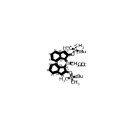 [CH2]=[Zr+2]([CH]1C(O[Si](C)(C)C(C)(C)C)=Cc2ccccc21)[CH]1C(O[Si](C)(C)C(C)(C)C)=Cc2ccccc21.[Cl-].[Cl-]